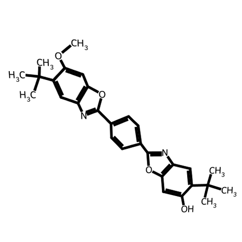 COc1cc2oc(-c3ccc(-c4nc5cc(C(C)(C)C)c(O)cc5o4)cc3)nc2cc1C(C)(C)C